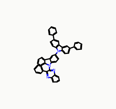 c1ccc(-c2ccc3c(c2)c2cc(-c4ccccc4)ccc2n3-c2ccc3c(c2)c2ccccc2n3-c2nc3ccccc3nc2-c2ccccc2)cc1